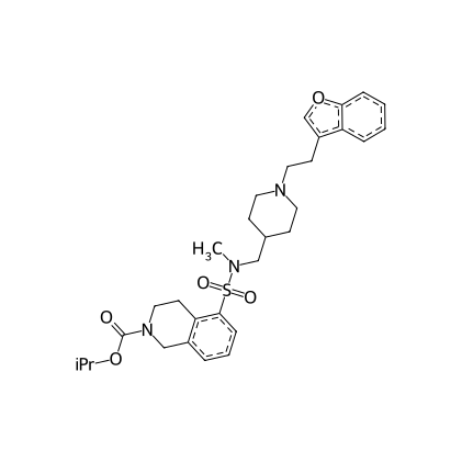 CC(C)OC(=O)N1CCc2c(cccc2S(=O)(=O)N(C)CC2CCN(CCc3coc4ccccc34)CC2)C1